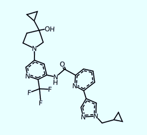 O=C(Nc1cc(N2CCC(O)(C3CC3)C2)cnc1C(F)(F)F)c1cccc(-c2cnn(CC3CC3)c2)n1